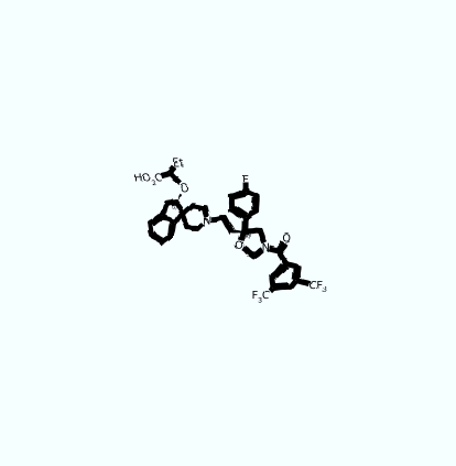 CCC(O[C@H]1Cc2ccccc2C12CCN(CC[C@@]1(c3ccc(F)cc3)CN(C(=O)c3cc(C(F)(F)F)cc(C(F)(F)F)c3)CO1)CC2)C(=O)O